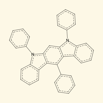 c1ccc(-c2c3c4ccccc4n(-c4ccccc4)c3cc3c2c2ccccc2n3-c2ccccc2)cc1